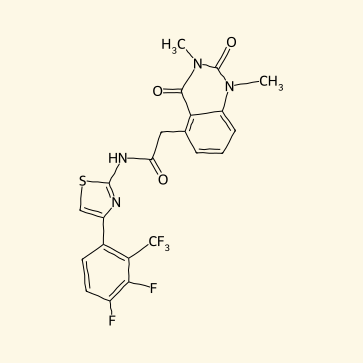 Cn1c(=O)c2c(CC(=O)Nc3nc(-c4ccc(F)c(F)c4C(F)(F)F)cs3)cccc2n(C)c1=O